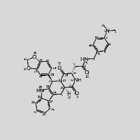 CN(C)c1ccc(CNC(=O)C[C@@H]2NC(=O)[C@H]3Cc4c([nH]c5ccccc45)[C@@H](c4ccc5c(c4)OCO5)N3C2=O)cc1